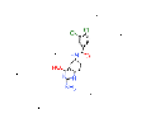 Nc1nc(O)c2c(n1)CCC(NC(=O)c1ccc(Cl)c(Cl)c1)C2